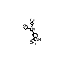 CCc1c[nH]c2ncc(-c3cc(C4CCOC4)n(C4CC(F)(F)C4)n3)cc12